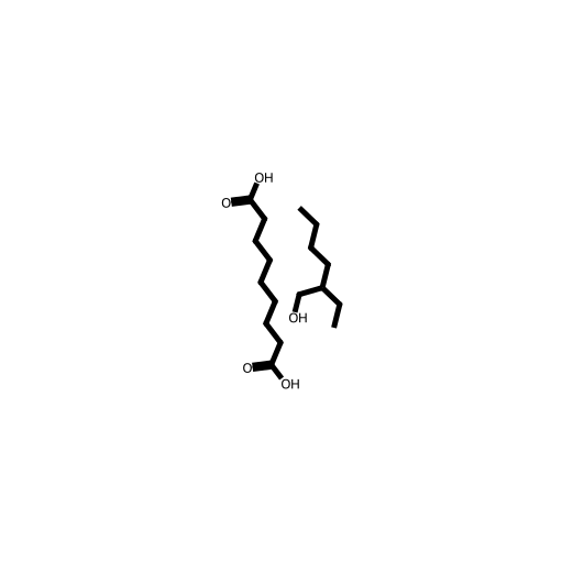 CCCCC(CC)CO.O=C(O)CCCCCCCC(=O)O